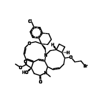 COC(=O)[C@@]1(O)CC(=O)N(C)C2C=CCC(OCCBr)[C@@H]3CC[C@H]3CN3C[C@@]4(CCCc5cc(Cl)ccc54)COC=CC=C1C=C23